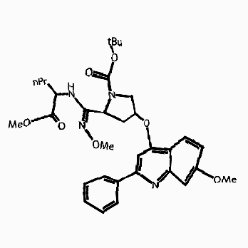 CCCC(N/C(=N/OC)[C@@H]1CC(Oc2cc(-c3ccccc3)nc3cc(OC)ccc23)CN1C(=O)OC(C)(C)C)C(=O)OC